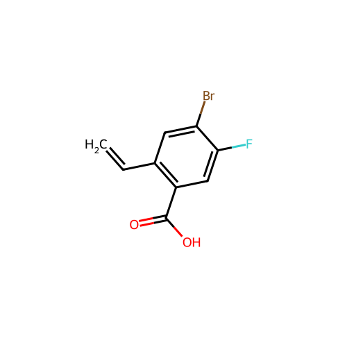 C=Cc1cc(Br)c(F)cc1C(=O)O